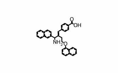 NC(/C(=C/c1ccc(C(=O)O)cc1)CCOc1cccc2ccccc12)c1ccc2ccccc2c1